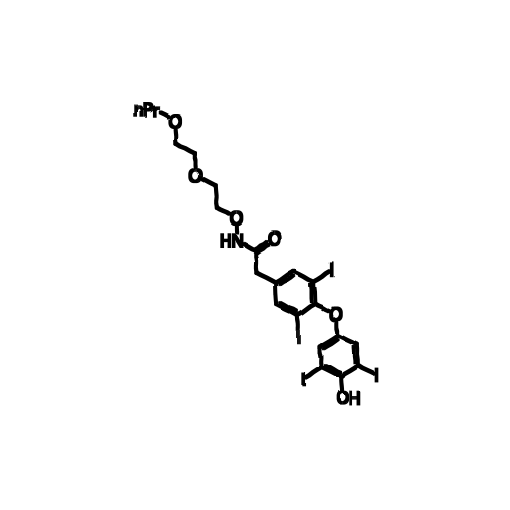 CCCOCCOCCONC(=O)Cc1cc(I)c(Oc2cc(I)c(O)c(I)c2)c(I)c1